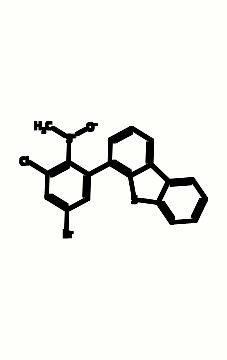 C[S+]([O-])c1c(Cl)cc(Br)cc1-c1cccc2c1sc1ccccc12